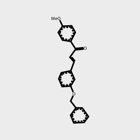 COc1ccc(C(=O)C=Cc2cccc(OCc3ccccc3)c2)cc1